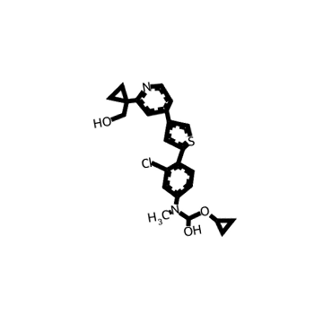 CN(c1ccc(-c2cc(-c3ccnc(C4(CO)CC4)c3)cs2)c(Cl)c1)C(O)OC1CC1